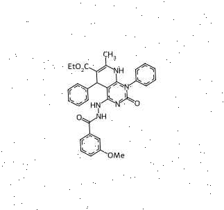 CCOC(=O)C1=C(C)Nc2c(c(NNC(=O)c3cccc(OC)c3)nc(=O)n2-c2ccccc2)C1c1ccccc1